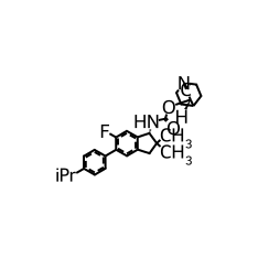 CC(C)c1ccc(-c2cc3c(cc2F)[C@H](NC(=O)O[C@@H]2CN4CCC2CC4)C(C)(C)C3)cc1